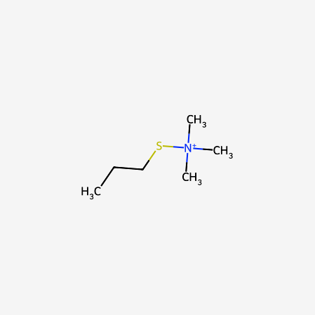 CCCS[N+](C)(C)C